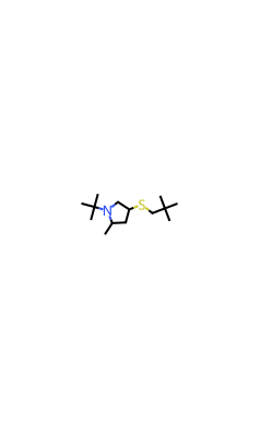 CC1CC(SCC(C)(C)C)CN1C(C)(C)C